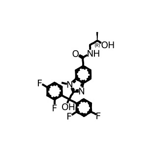 C[C@@H](O)CNC(=O)c1ccc2nc(C(O)(c3ccc(F)cc3F)c3ccc(F)cc3F)n(C)c2c1